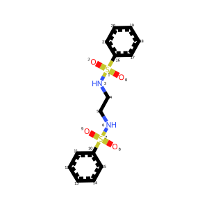 O=S(=O)(NCCNS(=O)(=O)c1ccccc1)c1ccccc1